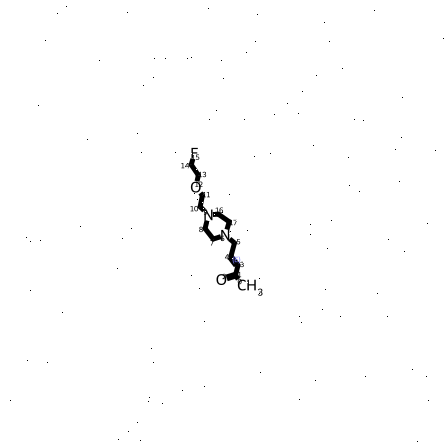 CC(=O)/C=C/CN1CCN(CCOCCF)CC1